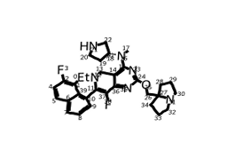 CCc1c(F)ccc2cccc(-c3ncc4c(N(C)[C@@H]5CCNC5)nc(OCC56CCCN5CCC6)nc4c3F)c12